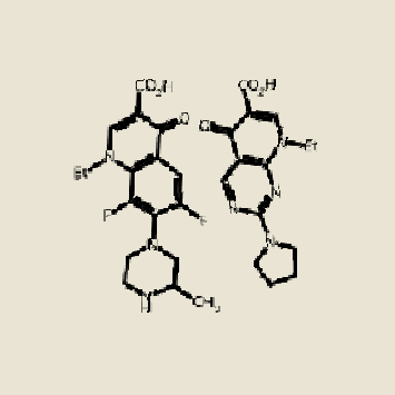 CCn1cc(C(=O)O)c(=O)c2cc(F)c(N3CCNC(C)C3)c(F)c21.CCn1cc(C(=O)O)c(=O)c2cnc(N3CCCC3)nc21